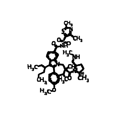 CCCC(CC)c1c2n(c3cc(C(=O)NS(=O)(=O)c4sc(C)nc4C)ccc13)CC(C)(C(=O)N1C(CNC)CC[C@H]1C)C(C)c1cc(OC)ccc1-2